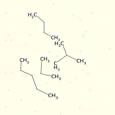 CC(C)C.CCC.CCCC.CCCCC